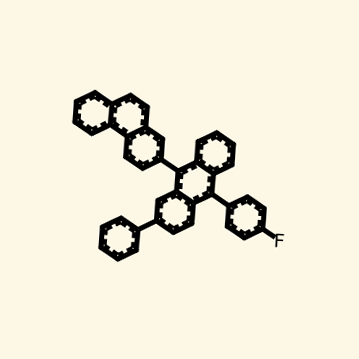 Fc1ccc(-c2c3ccccc3c(-c3ccc4c(ccc5ccccc54)c3)c3cc(-c4ccccc4)ccc23)cc1